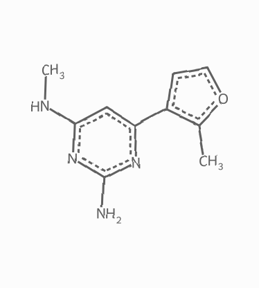 CNc1cc(-c2ccoc2C)nc(N)n1